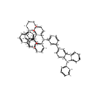 c1ccc(-n2c3ccccc3c3cc(-c4cccc(N(c5ccccc5-c5cccc6cccc(C7CCCCC7)c56)c5cccc6oc7ccccc7c56)c4)ccc32)cc1